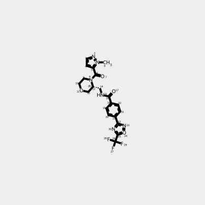 Cn1nccc1C(=O)N1CCOC[C@H]1CNC(=O)c1ccc(-c2noc(C(F)(F)F)n2)cc1